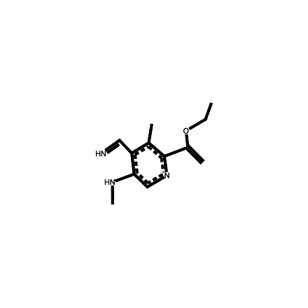 C=C(OCC)c1ncc(NC)c(C=N)c1C